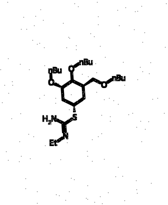 CCCCOC[C@H]1C[C@H](S/C(N)=N/CC)C[C@@H](OCCCC)C1OCCCC